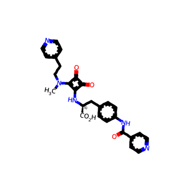 CN(CCc1ccncc1)c1c(N[C@@H](Cc2ccc(NC(=O)c3ccncc3)cc2)C(=O)O)c(=O)c1=O